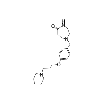 O=C1CCN(Cc2ccc(OCCCN3CCCCC3)cc2)CCN1